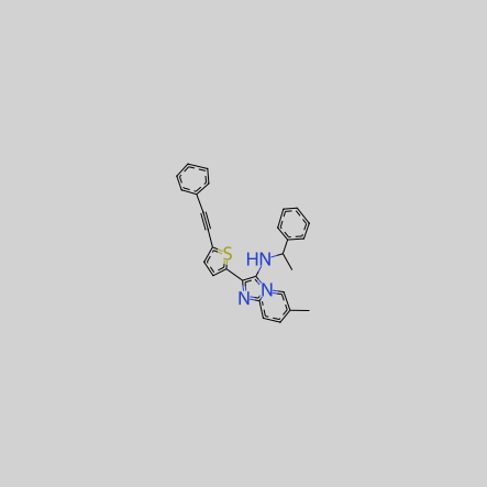 Cc1ccc2nc(-c3ccc(C#Cc4ccccc4)s3)c(NC(C)c3ccccc3)n2c1